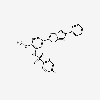 COc1ncc(-c2nn3cc(-c4ccccc4)nc3s2)cc1NS(=O)(=O)c1ccc(F)cc1F